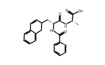 C[C@H](NC(=O)[C@@H](CC1C=Cc2ccccc2C1)NC(=O)c1ccccc1)C(=O)O